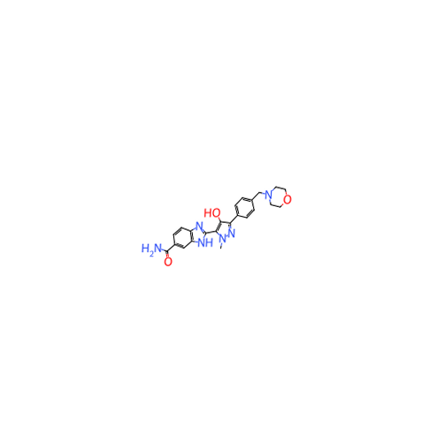 Cn1nc(-c2ccc(CN3CCOCC3)cc2)c(O)c1-c1nc2ccc(C(N)=O)cc2[nH]1